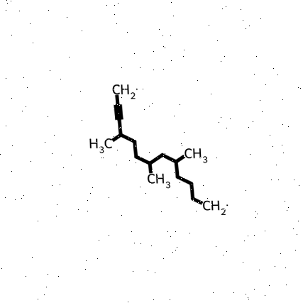 [CH2]C#CC(C)CCC(C)CC(C)CCC[CH2]